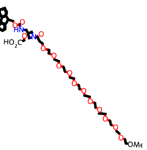 COCCOCCOCCOCCOCCOCCOCCOCCOCCOCCOCCOCCC(=O)N1CC(CNC(=O)OCC2c3ccccc3-c3ccccc32)(OCC(=O)O)C1